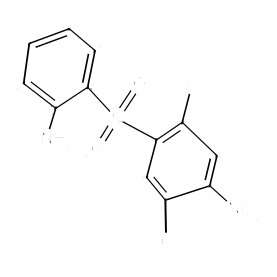 Nc1ccccc1S(=O)(=O)c1cc(Cl)c([N+](=O)[O-])cc1Cl